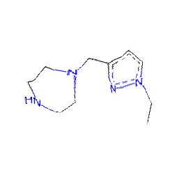 CCn1ccc(CN2CCNCC2)n1